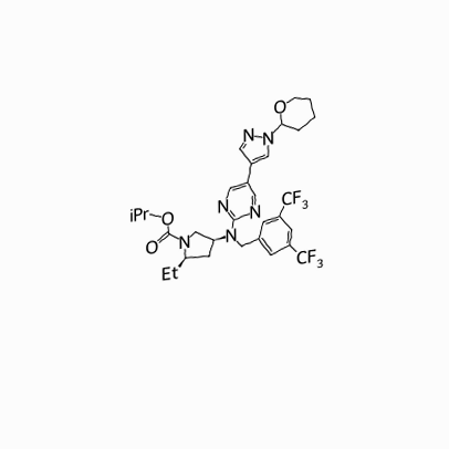 CC[C@@H]1C[C@H](N(Cc2cc(C(F)(F)F)cc(C(F)(F)F)c2)c2ncc(-c3cnn(C4CCCCO4)c3)cn2)CN1C(=O)OC(C)C